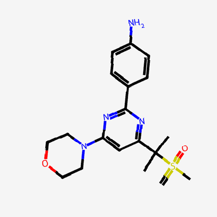 C=S(C)(=O)C(C)(C)c1cc(N2CCOCC2)nc(-c2ccc(N)cc2)n1